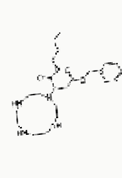 CCCCOC(=O)C(CC(=O)OCc1ccccc1)N1CCNCCNCCNCC1